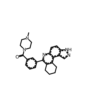 CN1CCN(C(=O)c2cccc(-c3nc4ccc5[nH]ncc5c4c4c3CCCC4)c2)CC1